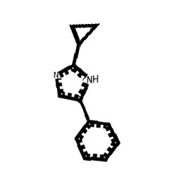 [c]1ccccc1-c1cnc(C2CC2)[nH]1